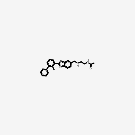 CC(=O)NCCNCc1ccc2[nH]c(-c3cccc(-c4ccccc4)c3C)nc2c1